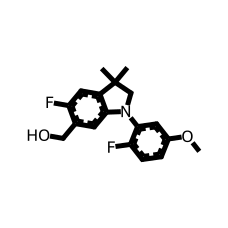 COc1ccc(F)c(N2CC(C)(C)c3cc(F)c(CO)cc32)c1